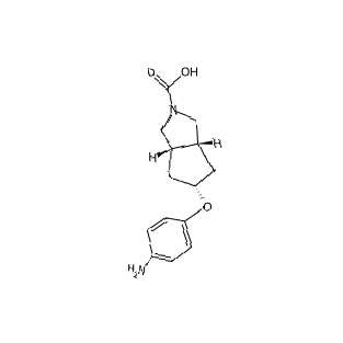 Nc1ccc(O[C@@H]2C[C@@H]3CN(C(=O)O)C[C@@H]3C2)cc1